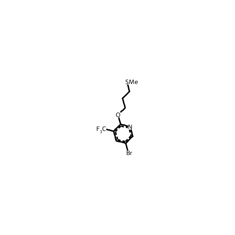 CSCCCOc1ncc(Br)cc1C(F)(F)F